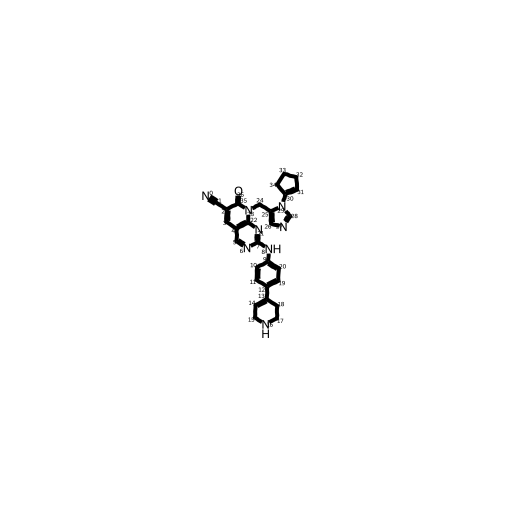 N#Cc1cc2cnc(Nc3ccc(C4=CCNCC4)cc3)nc2n(Cc2cncn2C2=CCCC2)c1=O